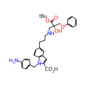 CC(C)(C)OC(=O)C(O)(CNCCCc1ccc2c(c1)cc(C(=O)O)n2Cc1ccc(N)cc1)COc1ccccc1